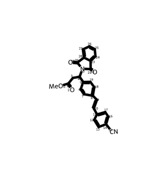 COC(=O)CC(c1ccc(C=Cc2ccc(C#N)cc2)cc1)N1C(=O)c2ccccc2C1=O